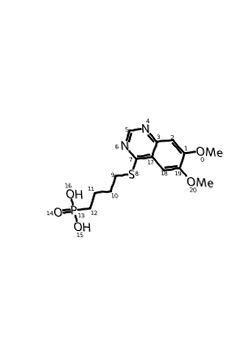 COc1cc2ncnc(SCCCCP(=O)(O)O)c2cc1OC